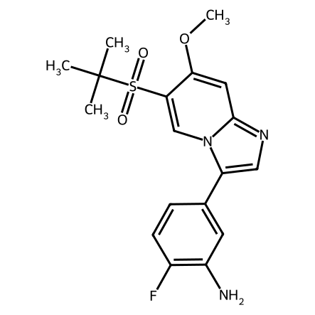 COc1cc2ncc(-c3ccc(F)c(N)c3)n2cc1S(=O)(=O)C(C)(C)C